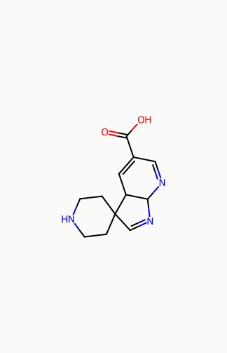 O=C(O)C1=CC2C(N=C1)N=CC21CCNCC1